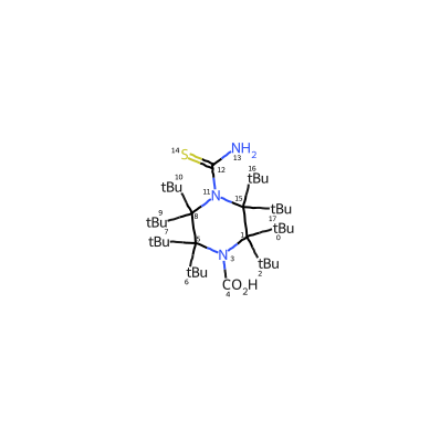 CC(C)(C)C1(C(C)(C)C)N(C(=O)O)C(C(C)(C)C)(C(C)(C)C)C(C(C)(C)C)(C(C)(C)C)N(C(N)=S)C1(C(C)(C)C)C(C)(C)C